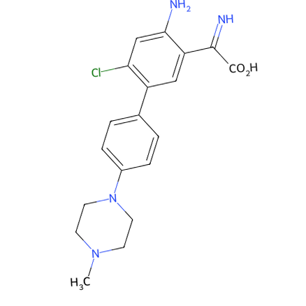 CN1CCN(c2ccc(-c3cc(C(=N)C(=O)O)c(N)cc3Cl)cc2)CC1